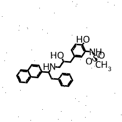 CS(=O)(=O)Nc1cc(CC(O)CNC(Cc2ccccc2)c2ccc3ccccc3c2)ccc1O